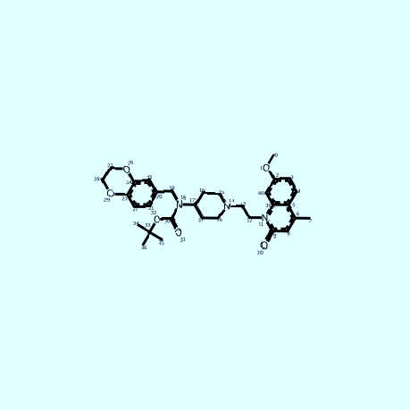 COc1ccc2c(C)cc(=O)n(CCN3CCC(N(Cc4ccc5c(c4)OCCO5)C(=O)OC(C)(C)C)CC3)c2c1